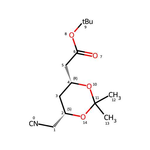 [C-]#[N+]C[C@@H]1C[C@H](CC(=O)OC(C)(C)C)OC(C)(C)O1